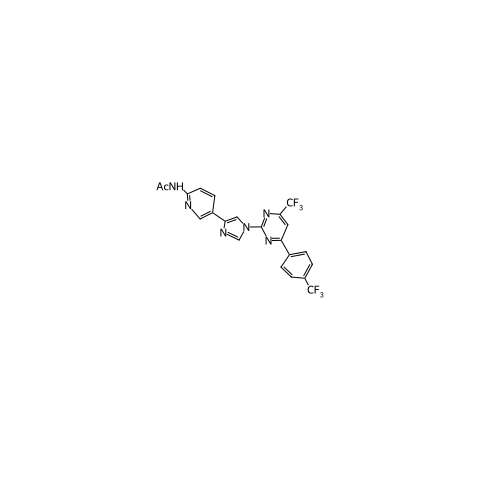 CC(=O)Nc1ccc(-c2cn(-c3nc(-c4ccc(C(F)(F)F)cc4)cc(C(F)(F)F)n3)cn2)cn1